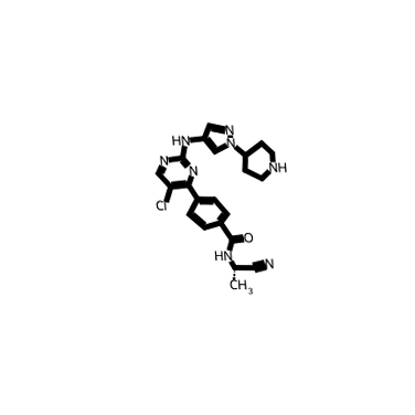 C[C@@H](C#N)NC(=O)c1ccc(-c2nc(Nc3cnn(C4CCNCC4)c3)ncc2Cl)cc1